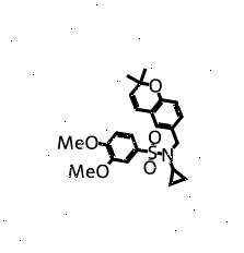 COc1ccc(S(=O)(=O)N(Cc2ccc3c(c2)C=CC(C)(C)O3)C2CC2)cc1OC